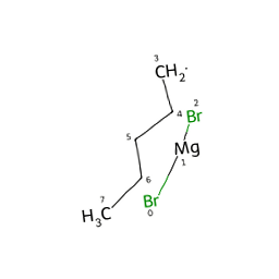 [Br][Mg][Br].[CH2]CCCC